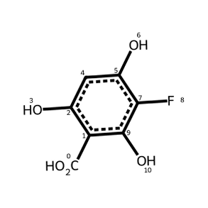 O=C(O)c1c(O)cc(O)c(F)c1O